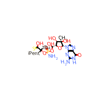 CCCC(C)C(OP(N)(=O)OC(O)[C@H]1O[C@@H](n2cnc3c(=O)[nH]c(N)nc32)[C@](C)(O)[C@@H]1O)(C(O)=S)C(C)(C)C